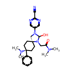 CN(C)C(=O)CN1C(O)N(c2cnc(C#N)nc2)C[C@]12CC[C@](c1ccccc1)(N(C)C)CC2